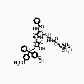 COc1ccc(C(OC[C@H]2O[C@@H](n3cnc4c(NC(=O)c5ccccc5)nc(NCCNC(=O)OCC[Si](C)(C)C)nc43)[C@H](O)[C@@H]2O)(c2ccccc2)c2ccc(OC)cc2)cc1